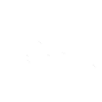 CCOCCNc1c(N2CCN(C(=O)CCC(=O)N(C)C)CC2)cnn(-c2ccccc2)c1=O